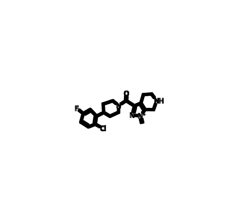 C=[N+]1N=C(C(=O)N2CCC(c3cc(F)ccc3Cl)CC2)C2=C1CNCC2